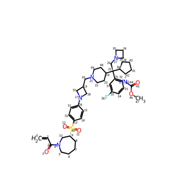 C=CC(=O)N1CCCC[C@@H](S(=O)(=O)c2ccc(N3CC(CN4CCC([C@@](CN5CCC5)(c5cccc(F)c5)[C@H]5CCC[C@@H]5NC(=O)OC)CC4)C3)cc2)C1